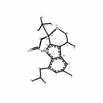 Cc1cc(CC(C)C)c2[nH]c3c(c2c1)C(C)CO[C@@]3(CC=O)C(C)(C)C